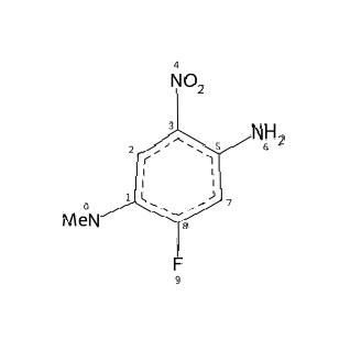 CNc1cc([N+](=O)[O-])c(N)cc1F